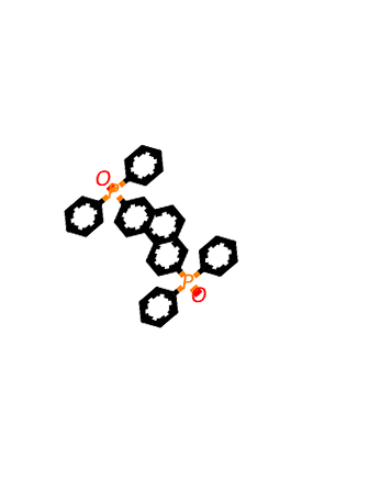 O=P(c1ccccc1)(c1ccccc1)c1ccc2c(ccc3cc(P(=O)(c4ccccc4)c4ccccc4)ccc32)c1